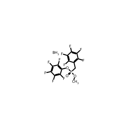 B.COP(=O)(Cc1c(F)c(F)c(F)c(F)c1F)Oc1c(F)c(F)c(F)c(F)c1F